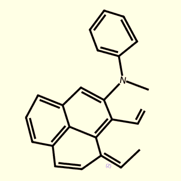 C=Cc1c(N(C)c2ccccc2)cc2cccc3cc/c(=C/C)c1c32